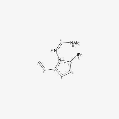 C=Cc1ccc(C(C)C)n1/N=C\NC